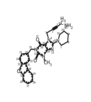 CC#CCn1c(N2CCC[C@@H](N)C2)nc2c1c(=O)n(Cc1ccc3oc4ccccc4c3c1)c(=O)n2C